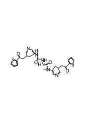 O=C(NNC(=O)NC1=CN=CC(CC(=O)c2cccs2)C1)NC1=CN=CC(CC(=O)c2cccs2)C1